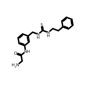 NCC(=O)Nc1cccc(CNC(=S)NCCc2ccccc2)c1